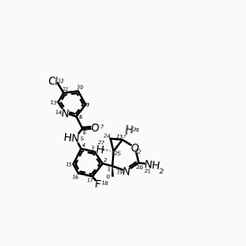 C[C@]1(c2cc(NC(=O)c3ccc(Cl)cn3)ccc2F)N=C(N)O[C@@H]2C[C@@H]21